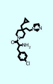 NC(Cc1ccc(Cl)cc1)C(=O)N1CCC(CCn2ccnc2)(CC2CC2)CC1